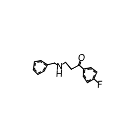 O=C(CCNCc1ccccc1)c1ccc(F)cc1